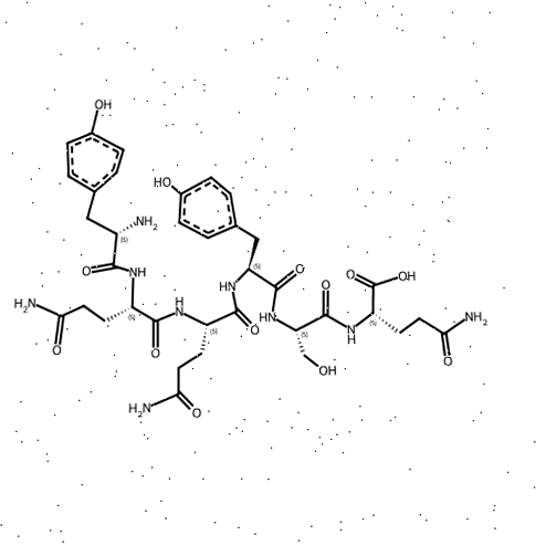 NC(=O)CC[C@H](NC(=O)[C@H](CO)NC(=O)[C@H](Cc1ccc(O)cc1)NC(=O)[C@H](CCC(N)=O)NC(=O)[C@H](CCC(N)=O)NC(=O)[C@@H](N)Cc1ccc(O)cc1)C(=O)O